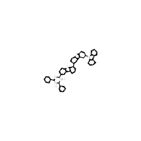 C1=CC(n2c3ccccc3c3ccccc32)Cc2c1sc1ccc(-c3cccc4c3sc3ccc(C5N=C(c6ccccc6)NC(c6ccccc6)N5)cc34)cc21